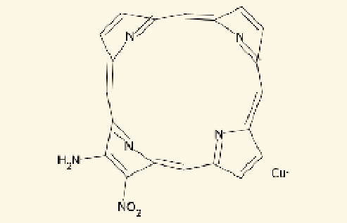 NC1=C([N+](=O)[O-])C2=CC3=NC(=CC4=NC(=CC5=NC(=CC1=N2)C=C5)C=C4)C=C3.[Cu]